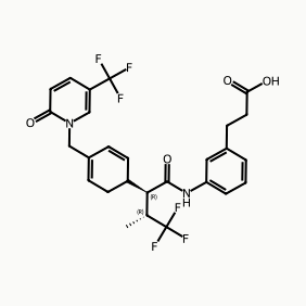 C[C@H]([C@H](C(=O)Nc1cccc(CCC(=O)O)c1)C1C=CC(Cn2cc(C(F)(F)F)ccc2=O)=CC1)C(F)(F)F